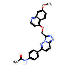 COc1ccc2c(OCc3nnc4ccc(-c5ccc(NC(C)=O)cc5)nn34)ccnc2c1